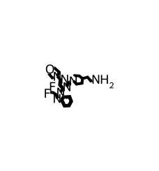 NCCC1CCN(c2nc(N3CCOCC3)cc(-n3c(C(F)F)nc4ccccc43)n2)CC1